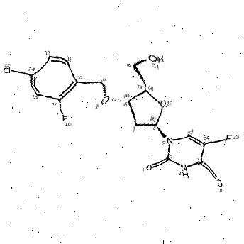 O=c1[nH]c(=O)n([C@H]2C[C@H](OCc3ccc(Cl)cc3F)[C@@H](CO)O2)cc1F